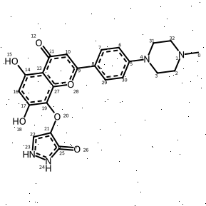 CN1CCN(c2ccc(-c3cc(=O)c4c(O)cc(O)c(Oc5c[nH][nH]c5=O)c4o3)cc2)CC1